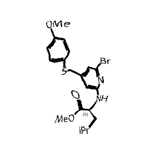 COC(=O)[C@H](CC(C)C)Nc1cc(Sc2ccc(OC)cc2)cc(Br)n1